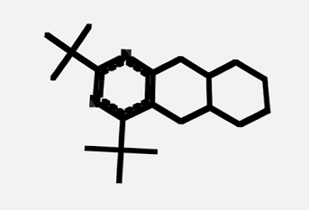 CC(C)(C)c1nc2c(c(C(C)(C)C)n1)CC1CCCCC1C2